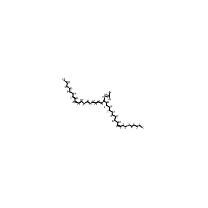 CCCCCCCC/C=C\CCCCCCCCCC(C)CCCCCCCC/C=C\CCCCCCCC.CN(C)C